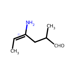 C/C=C(/N)CC(C)C=O